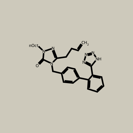 C=CCCc1nn(CCCCCCCC)c(=O)n1Cc1ccc(-c2ccccc2-c2nnn[nH]2)cc1